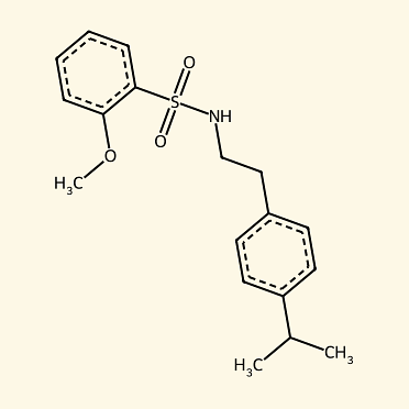 COc1ccccc1S(=O)(=O)NCCc1ccc(C(C)C)cc1